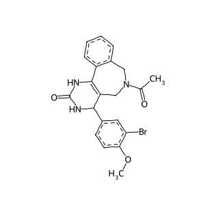 COc1ccc(C2NC(=O)NC3=C2CN(C(C)=O)Cc2ccccc23)cc1Br